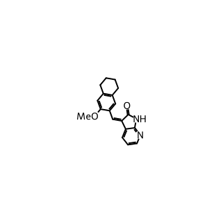 COc1cc2c(cc1C=C1C(=O)Nc3ncccc31)CCCC2